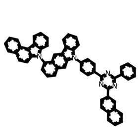 c1ccc(-c2nc(-c3ccc(-n4c5ccccc5c5cc6c(-n7c8ccccc8c8c9ccccc9ccc87)cccc6cc54)cc3)nc(-c3ccc4ccccc4c3)n2)cc1